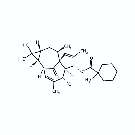 CC1=C[C@@H]2C(=O)[C@]3(C=C(C)[C@H](OC(=O)C4(C)CCCCC4)[C@H]3[C@@H]1O)[C@H](C)C[C@@H]1[C@H]2C1(C)C